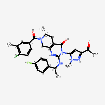 CNC(=O)c1cc(-n2c(N[C@@H](C)c3ccc(F)cc3)nc3c(c2=O)C[C@@H](C)N(C(=O)c2ccc(Cl)c(C(F)(F)F)c2)C3)n(C)n1